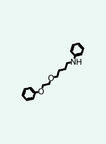 c1ccc(NCCCCOCCOc2ccccc2)cc1